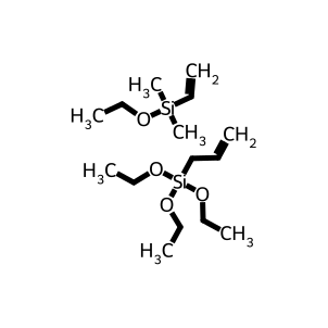 C=CC[Si](OCC)(OCC)OCC.C=C[Si](C)(C)OCC